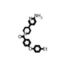 CCc1ccc(Oc2ccc(C(=O)N3CCC(c4ccc(N)nc4)CC3)cc2)cc1